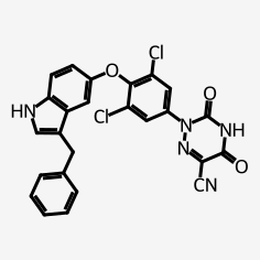 N#Cc1nn(-c2cc(Cl)c(Oc3ccc4[nH]cc(Cc5ccccc5)c4c3)c(Cl)c2)c(=O)[nH]c1=O